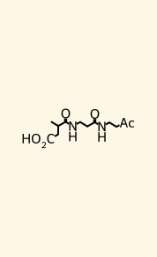 CC(=O)CCNC(=O)CCNC(=O)C(C)CC(=O)O